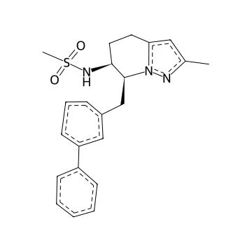 Cc1cc2n(n1)[C@@H](Cc1cccc(-c3ccccc3)c1)[C@@H](NS(C)(=O)=O)CC2